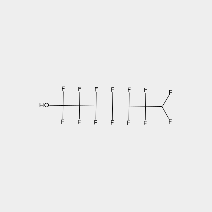 OC(F)(F)C(F)(F)C(F)(F)C(F)(F)C(F)(F)C(F)(F)C(F)F